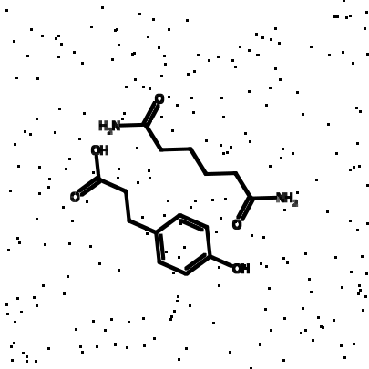 NC(=O)CCCCC(N)=O.O=C(O)CCc1ccc(O)cc1